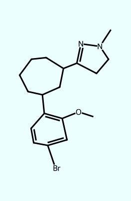 COc1cc(Br)ccc1C1CCCCC(C2=NN(C)CC2)C1